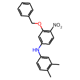 Cc1ccc(Nc2ccc([N+](=O)[O-])c(OCc3ccccc3)c2)cc1C